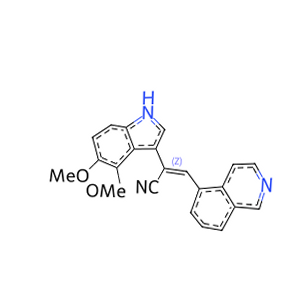 COc1ccc2[nH]cc(/C(C#N)=C/c3cccc4cnccc34)c2c1OC